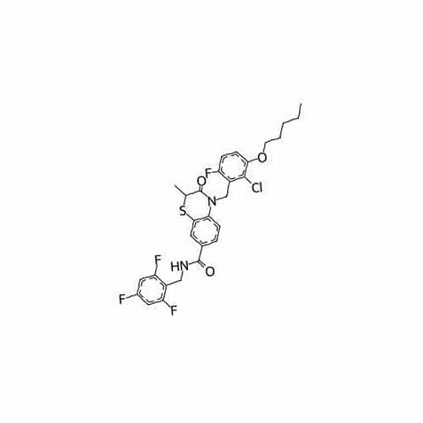 CCCCCOc1ccc(F)c(CN2C(=O)C(C)Sc3cc(C(=O)NCc4c(F)cc(F)cc4F)ccc32)c1Cl